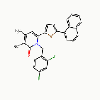 N#Cc1c(C(F)(F)F)cc(-c2ccc(-c3cccc4ccccc34)s2)n(Cc2ccc(F)cc2F)c1=O